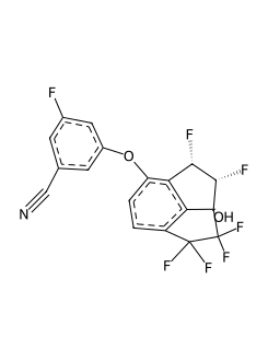 N#Cc1cc(F)cc(Oc2ccc3c4c2[C@H](F)[C@H](F)[C@@]4(O)C(F)(F)C3(F)F)c1